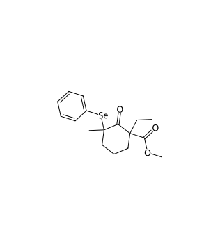 CCC1(C(=O)OC)CCCC(C)([Se]c2ccccc2)C1=O